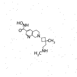 CNCC[C@]1(C)C[C@H](N2CCc3cc(C(=O)NO)cnc3C2)C1